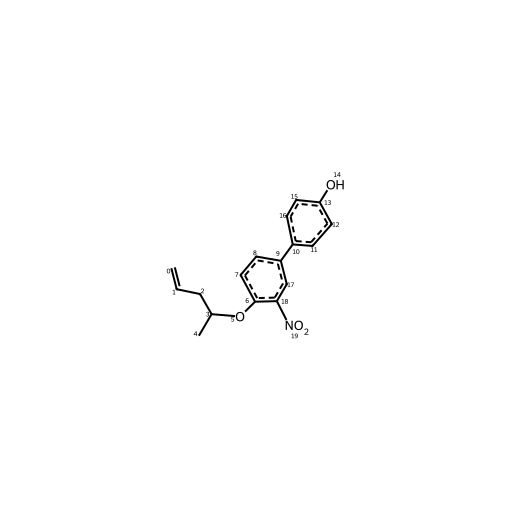 C=CCC(C)Oc1ccc(-c2ccc(O)cc2)cc1[N+](=O)[O-]